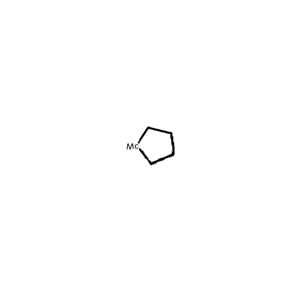 C1C[CH2][Mo][CH2]1